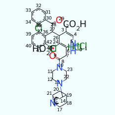 Cl.Cl.O=C(O)C1=CNC(CC(=O)N2CCN(C3CN4CCC3CC4)CC2)=C(C(=O)O)C1C(C(=O)c1ccccc1)c1c(Cl)cccc1Cl